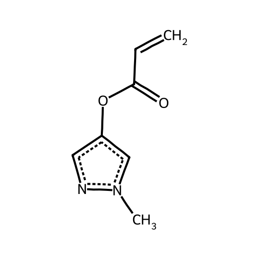 C=CC(=O)Oc1cnn(C)c1